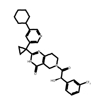 O=C([C@H](O)c1cccc(C(F)(F)F)c1)N1CCc2nc(C3(c4cncc(C5CCCCC5)c4)CC3)[nH]c(=O)c2C1